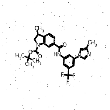 Cc1cn(-c2cc(NC(=O)c3ccc4c(c3)N(C(=O)OC(C)(C)C)CC4C)cc(C(F)(F)F)c2)cn1